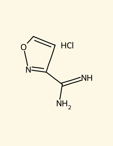 Cl.N=C(N)c1ccon1